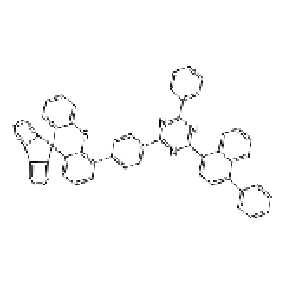 c1ccc(-c2nc(-c3ccc(-c4cccc5c4Sc4ccccc4C54c5ccccc5-c5ccccc54)cc3)nc(-c3ccc(-c4ccccc4)c4ccccc34)n2)cc1